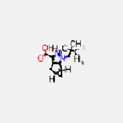 CC(C)(C)Cn1nc(C(=O)O)c2c1[C@@H]1C[C@@H]1C2